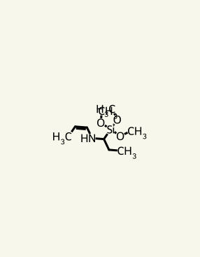 C/C=C\NC(CC)[Si](OC)(OC)OC